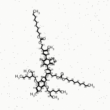 CCCCCCCCCOC(=O)OCCc1cc(-c2c(F)c(F)c(-c3cc(CCOC(=O)OCCCCCCCCC)c(-c4cc5c(OCC(CC)CCCC)c6sc(C)cc6c(OCC(CC)CCCC)c5s4)s3)c3nonc23)sc1C